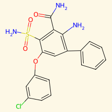 NC(=O)c1c(N)c(-c2ccccc2)cc(Oc2cccc(Cl)c2)c1S(N)(=O)=O